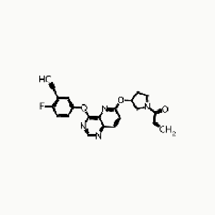 C#Cc1cc(Oc2ncnc3ccc(OC4CCN(C(=O)C=C)C4)nc23)ccc1F